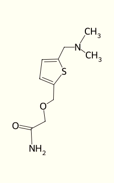 CN(C)Cc1ccc(COCC(N)=O)s1